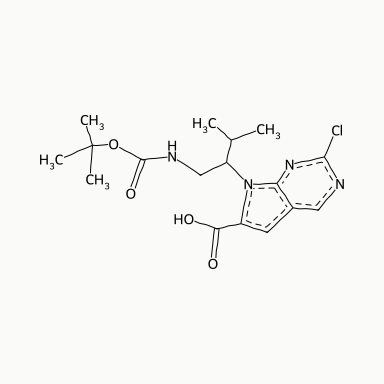 CC(C)C(CNC(=O)OC(C)(C)C)n1c(C(=O)O)cc2cnc(Cl)nc21